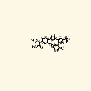 Cc1cc(C(C)C(=O)O)ccc1-c1ccc(-c2cc(C(F)(F)F)nn2-c2ccccc2Cl)s1